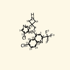 FC(F)(F)c1cc(NCC2(n3cc(Cl)cn3)CNC2)c2cc(Cl)ccc2n1